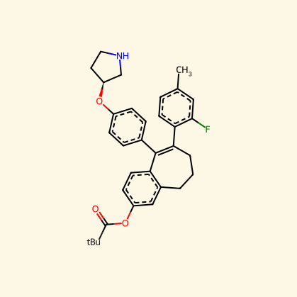 Cc1ccc(C2=C(c3ccc(O[C@H]4CCNC4)cc3)c3ccc(OC(=O)C(C)(C)C)cc3CCC2)c(F)c1